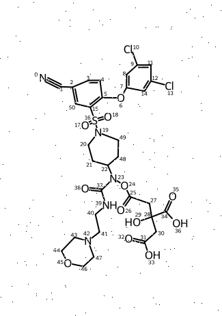 N#Cc1ccc(Oc2cc(Cl)cc(Cl)c2)c(S(=O)(=O)N2CCC(N(OC(=O)CC(O)(CC(=O)O)C(=O)O)C(=O)NCCN3CCOCC3)CC2)c1